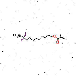 C=C(C)C(=O)OCCCCCCCCCC([SiH3])(I)I